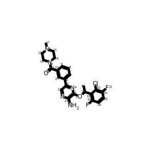 CC(Oc1nc(-c2cccc(C(=O)N3CCN(C)CC3)c2)cnc1N)c1c(F)ccc(F)c1Cl